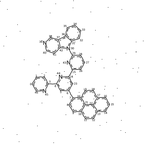 c1ccc(-c2cc(-c3ccc4ccc5cccc6ccc3c4c56)cc(-c3cccc(-n4c5ccccc5c5cnccc54)n3)n2)nc1